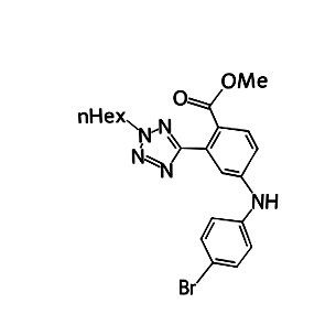 CCCCCCn1nnc(-c2cc(Nc3ccc(Br)cc3)ccc2C(=O)OC)n1